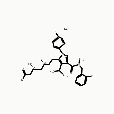 CC(C)c1c(C(=O)N(C)Cc2ccccc2F)nn(-c2ccc(F)cc2)c1CC[C@@H](O)C[C@@H](O)CC(=O)[O-].[Na+]